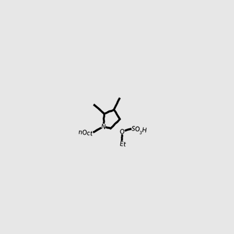 CCCCCCCCN1CCC(C)C1C.CCOS(=O)(=O)O